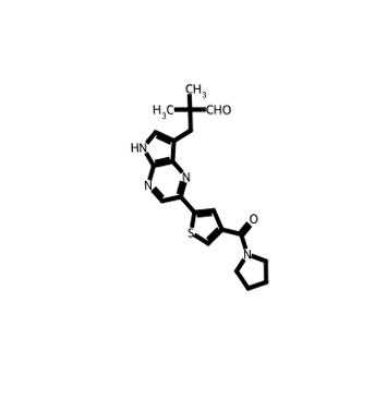 CC(C)(C=O)Cc1c[nH]c2ncc(-c3cc(C(=O)N4CCCC4)cs3)nc12